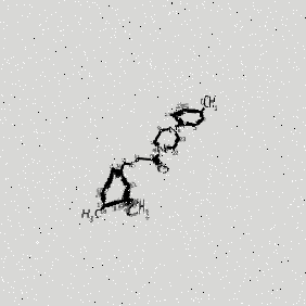 Cc1ccc(N2CCN(C(=O)CSCc3ccc(C)c(C)c3)CC2)cc1